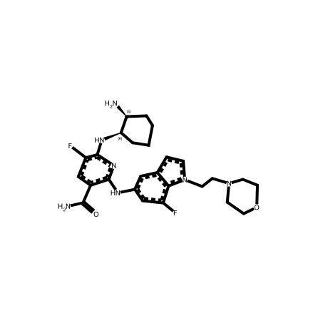 NC(=O)c1cc(F)c(N[C@@H]2CCCC[C@@H]2N)nc1Nc1cc(F)c2c(ccn2CCN2CCOCC2)c1